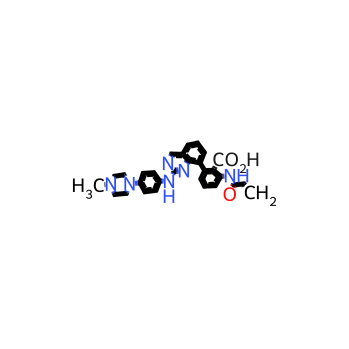 C=CC(=O)Nc1cccc(-c2cccc3cnc(Nc4ccc(N5CCN(C)CC5)cc4)nc23)c1C(=O)O